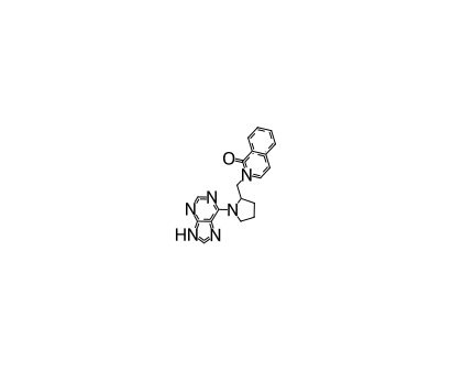 O=c1c2ccccc2ccn1CC1CCCN1c1ncnc2[nH]cnc12